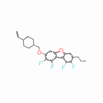 C=CC1CCC(COc2cc3oc4cc(CCC)c(F)c(F)c4c3c(F)c2F)CC1